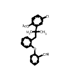 CC(=O)Oc1ccc(Cl)cc1C(C)(C)Cc1ccccc1Oc1ccccc1C#N